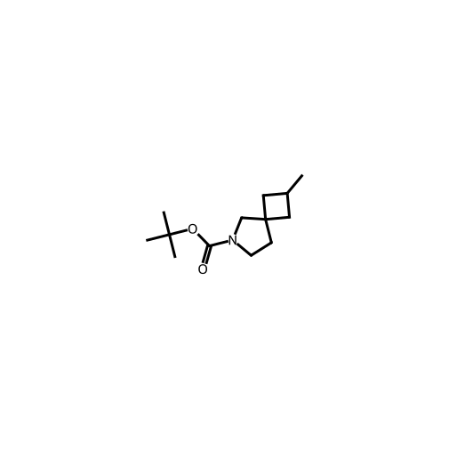 CC1CC2(CCN(C(=O)OC(C)(C)C)C2)C1